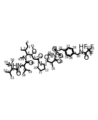 CCC(C)C(C(CC(=O)N1CCC[C@H]1C(OC)C(C)C(=O)NS(=O)(=O)Cc1ccc(CNC(=O)C(F)(F)F)cc1)OC)N(C)C(=O)C(NC(=O)C(C(C)C)N(C)C)C(C)C